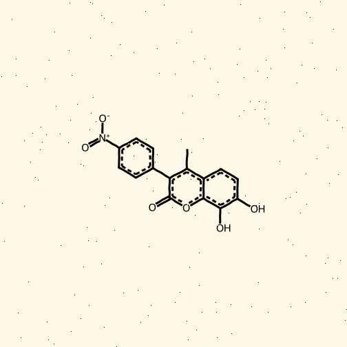 Cc1c(-c2ccc([N+](=O)[O-])cc2)c(=O)oc2c(O)c(O)ccc12